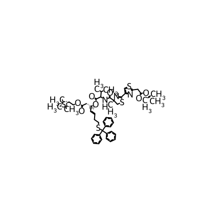 CC(C)C(NC(=O)C1(C)CSC(c2csc(CC(=O)OC(C)(C)C)n2)=N1)C(=O)O[C@H](C=CCCSC(c1ccccc1)(c1ccccc1)c1ccccc1)CC(=O)OCC[Si](C)(C)C